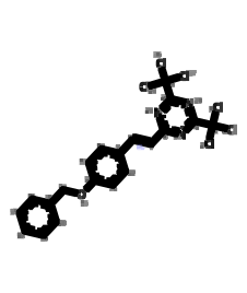 ClC(Cl)(Cl)c1nc(/C=C/c2ccc(OCc3ccccc3)cc2)nc(C(Cl)(Cl)Cl)n1